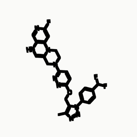 Cc1nnn(-c2ccc(C(F)F)cc2)c1COc1ccc(N2CCN3C(=CNc4cnc(F)cc43)C2)nn1